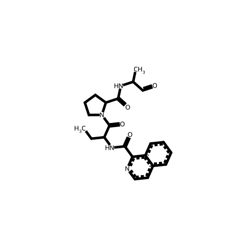 CCC(NC(=O)c1nccc2ccccc12)C(=O)N1CCCC1C(=O)NC(C)C=O